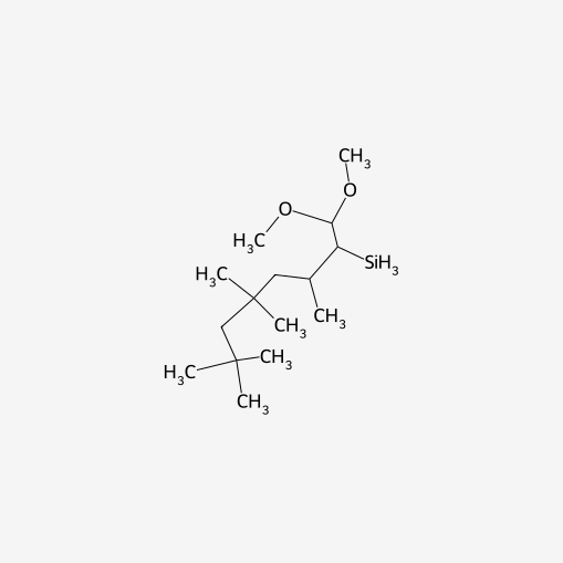 COC(OC)C([SiH3])C(C)CC(C)(C)CC(C)(C)C